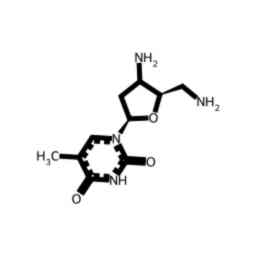 Cc1cn([C@H]2CC(N)[C@@H](CN)O2)c(=O)[nH]c1=O